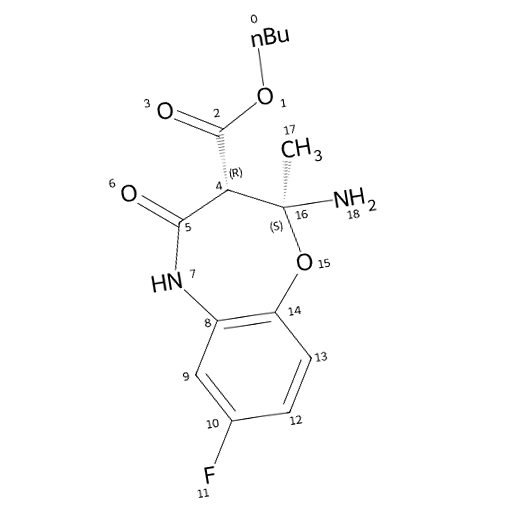 CCCCOC(=O)[C@H]1C(=O)Nc2cc(F)ccc2O[C@]1(C)N